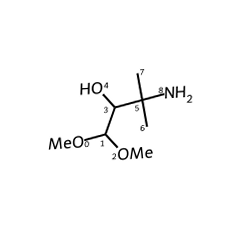 COC(OC)C(O)C(C)(C)N